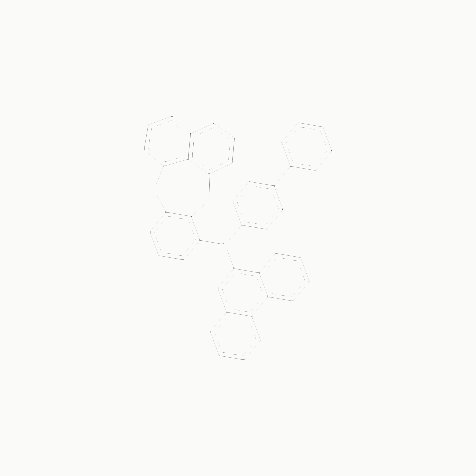 c1ccc(-c2ccc(N(c3cccc4c3Oc3cccc5cccc(c35)O4)c3cc4ccccc4c4ccccc34)cc2)cc1